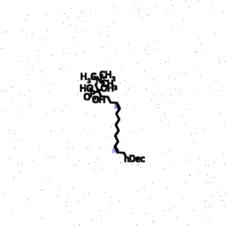 CCCCCCCCCCC/C=C\CCCCCC/C=C\CCCC(O)(C[N+](C)(C)C)P(=O)(O)O